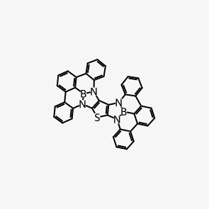 c1ccc2c(c1)-c1cccc3c1B1N2c2sc4c(c2N1c1ccccc1-3)N1B2c3c(cccc3-c3ccccc31)-c1ccccc1N24